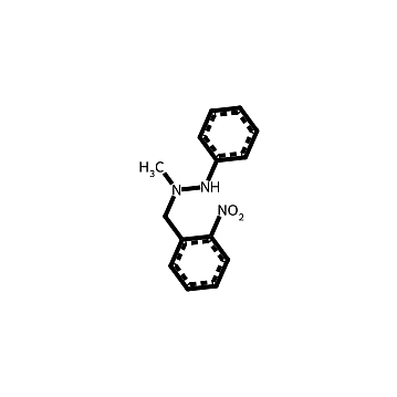 CN(Cc1ccccc1[N+](=O)[O-])Nc1ccccc1